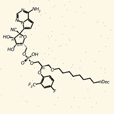 CCCCCCCCCCCCCCCCCCOC[C@H](COP(=O)(O)OC[C@H]1O[C@@](C#N)(c2ccc3c(N)ncnn23)[C@H](O)[C@@H]1O)Oc1ccc(F)cc1C(F)(F)F